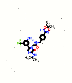 CC(C)Nc1ncc(-c2cc(N)cc(C(F)(F)F)c2)n(CC(=O)NCc2ccc(C3=NOC(C)(C)ON3)cc2)c1=O